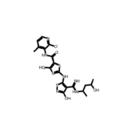 Cc1ccnc(Cl)c1NC(=O)c1sc(Nc2snc(O)c2C(=N)NC(C)CC(C)O)nc1O